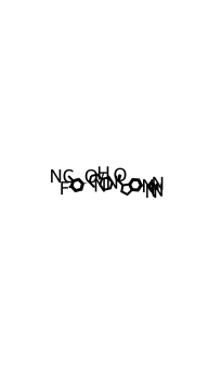 N#Cc1cc([C@H]2CN3CCN(C(=O)C4CCc5cc(-n6cnnn6)ccc54)C[C@H]3CO2)ccc1F